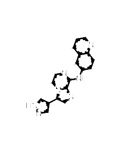 c1cnc2ccc(Nc3nccn4c(-c5cn[nH]c5)cnc34)cc2c1